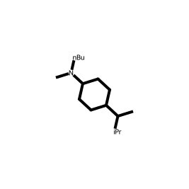 CCCCN(C)C1CCC(C(C)C(C)C)CC1